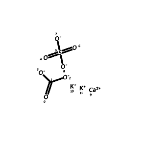 O=C([O-])[O-].O=S(=O)([O-])[O-].[Ca+2].[K+].[K+]